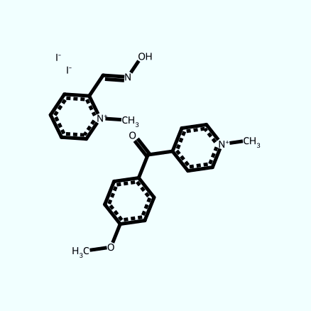 COc1ccc(C(=O)c2cc[n+](C)cc2)cc1.C[n+]1ccccc1C=NO.[I-].[I-]